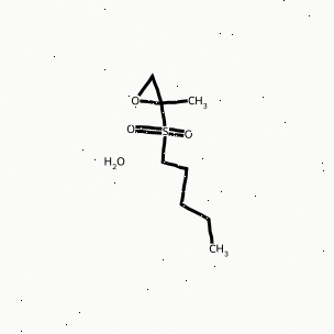 CCCCCS(=O)(=O)C1(C)CO1.O